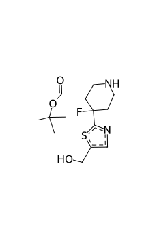 CC(C)(C)OC=O.OCc1cnc(C2(F)CCNCC2)s1